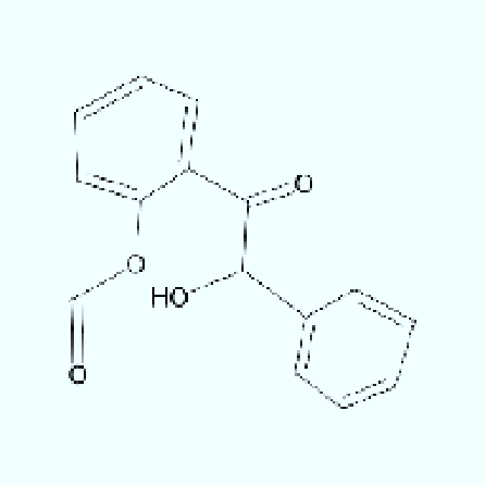 O=COc1ccccc1C(=O)C(O)c1ccccc1